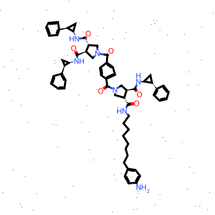 Nc1ccc(CCCCCCCCNC(=O)[C@@H]2CN(C(=O)c3ccc(C(=O)N4C[C@@H](C(=O)N[C@H]5C[C@@H]5c5ccccc5)[C@H](C(=O)N[C@H]5C[C@@H]5c5ccccc5)C4)cc3)C[C@H]2C(=O)N[C@H]2C[C@@H]2c2ccccc2)cc1